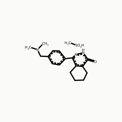 CN(C)Cc1ccc(-c2n[nH]c(=O)c3c2CCCC3)cc1.CS(=O)(=O)O